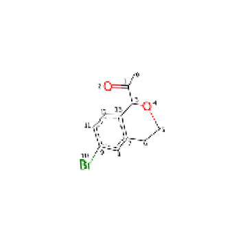 CC(=O)C1OCCc2cc(Br)ccc21